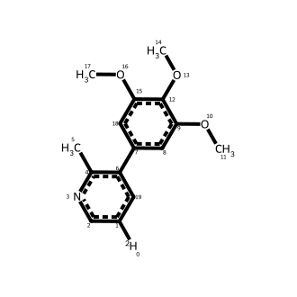 [2H]c1cnc(C)c(-c2cc(OC)c(OC)c(OC)c2)c1